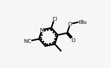 Cc1cc(C#N)nc(Cl)c1C(=O)OC(C)(C)C